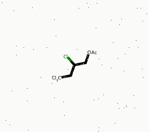 CC(=O)OCC(Cl)CC(Cl)(Cl)Cl